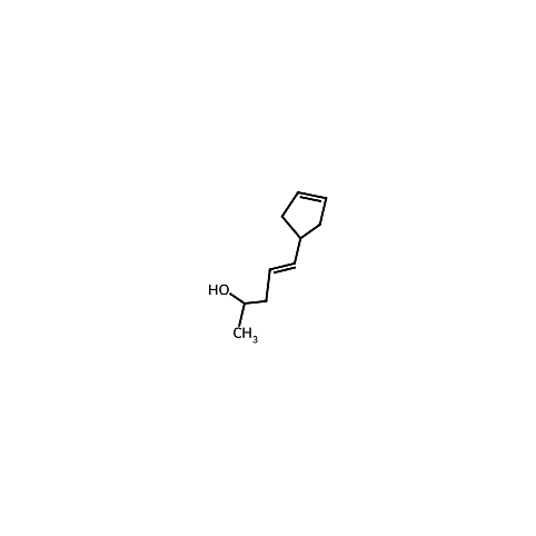 CC(O)CC=CC1CC=CC1